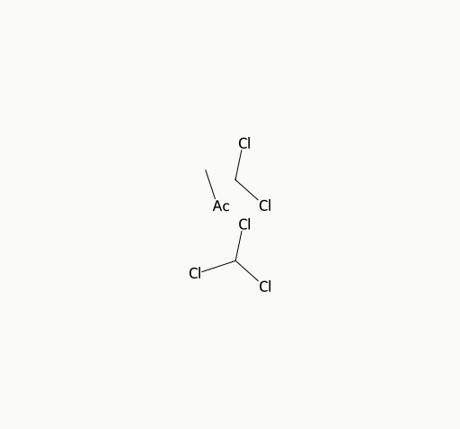 CC(C)=O.ClC(Cl)Cl.ClCCl